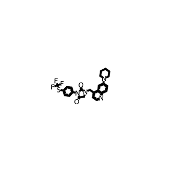 O=C1CN(Cc2ccnc3ccc(N4CCCCC4)cc23)C(=O)N1c1ccc(SC(F)(F)F)cc1